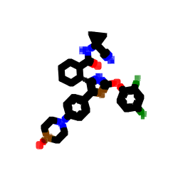 N#CC1(NC(=O)C2CCCC[C@H]2c2nc(Oc3ccc(F)cc3F)sc2-c2ccc(N3CC[S+]([O-])CC3)cc2)CC1